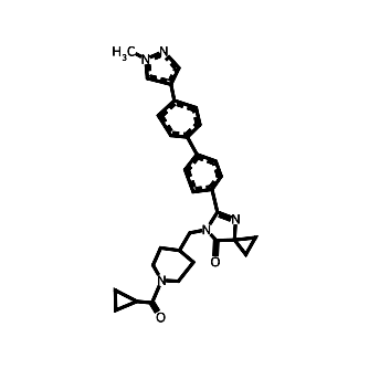 Cn1cc(-c2ccc(-c3ccc(C4=NC5(CC5)C(=O)N4CC4CCN(C(=O)C5CC5)CC4)cc3)cc2)cn1